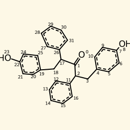 O=C(C(Cc1ccc(O)cc1)c1ccccc1)C(Cc1ccc(O)cc1)c1ccccc1